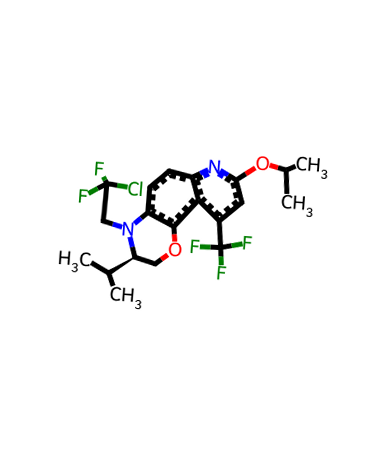 CC(C)Oc1cc(C(F)(F)F)c2c3c(ccc2n1)N(CC(F)(F)Cl)[C@H](C(C)C)CO3